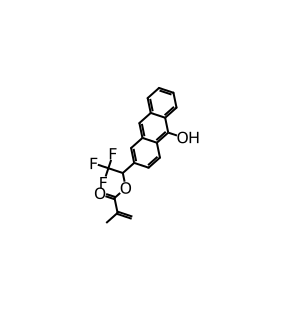 C=C(C)C(=O)OC(c1ccc2c(O)c3ccccc3cc2c1)C(F)(F)F